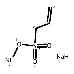 C=CCS(=O)(=O)OC#N.[NaH]